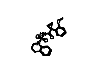 COc1ccccc1C1(C(=O)NS(=O)(=O)N2CCCc3ccccc32)CC1